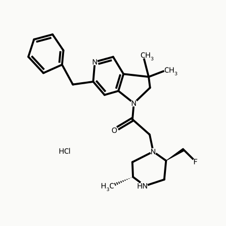 C[C@@H]1CN(CC(=O)N2CC(C)(C)c3cnc(Cc4ccccc4)cc32)[C@@H](CF)CN1.Cl